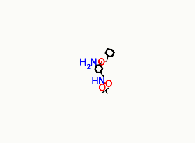 CC(C)(C)OC(=O)NCc1ccc(N)c(OCc2ccccc2)c1